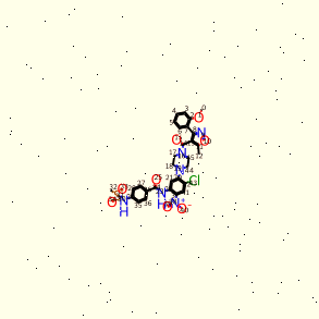 COc1ccccc1-c1noc(C)c1C(=O)N1CCN(c2cc(NC(=O)c3ccc(NS(C)(=O)=O)cc3)c([N+](=O)[O-])cc2Cl)CC1